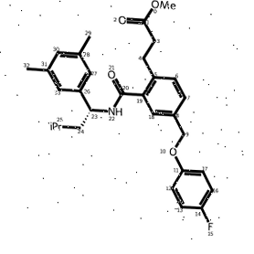 COC(=O)CCc1ccc(COc2ccc(F)cc2)cc1C(=O)N[C@H](CC(C)C)c1cc(C)cc(C)c1